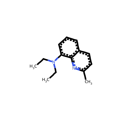 CCN(CC)c1cccc2ccc(C)nc12